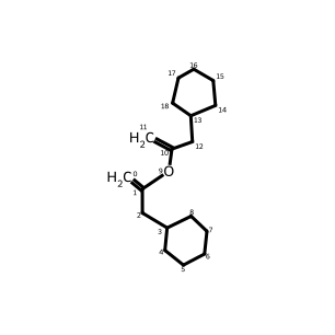 C=C(CC1CCCCC1)OC(=C)CC1CCCCC1